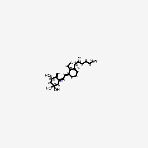 C=C1/C(=C\C=C2CCC[C@@]3(C)C2CC[C@@H]3[C@H](C)CCCC(C)C)CC(O)(O)C[C@H]1O